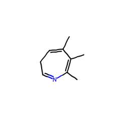 CC1=CCC=NC(C)=C1C